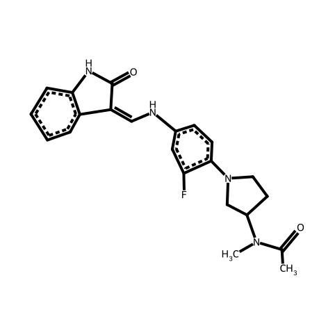 CC(=O)N(C)C1CCN(c2ccc(NC=C3C(=O)Nc4ccccc43)cc2F)C1